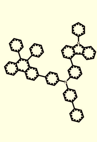 c1ccc(-c2ccc(N(c3ccc(-c4ccc5c(c4)c(-c4ccccc4)c(-c4ccccc4)c4ccccc45)cc3)c3cccc(-c4cccc5c4c4ccccc4n5-c4ccccc4)c3)cc2)cc1